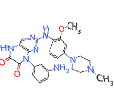 COc1cc(N2CCN(C)CC2)ccc1Nc1ncc2[nH]c(=O)c(=O)n(-c3cccc(N)c3)c2n1